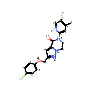 Cc1cc(N2CCn3nc(COc4ccc(F)cc4)cc3C2=O)ncc1F